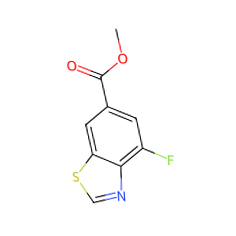 COC(=O)c1cc(F)c2ncsc2c1